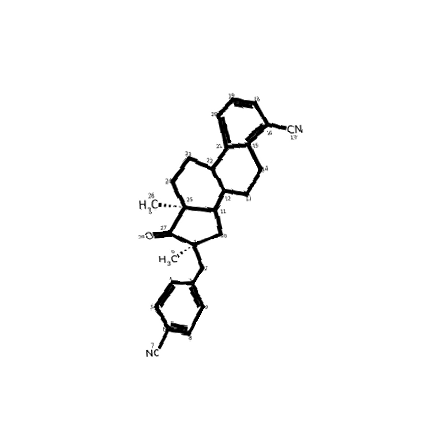 C[C@@]1(Cc2ccc(C#N)cc2)CC2C3CCc4c(C#N)cccc4C3CC[C@]2(C)C1=O